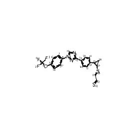 FC(F)(F)Oc1ccc(-n2cnc(-c3ccc(C4CC4N=CC=S)cc3)n2)cc1